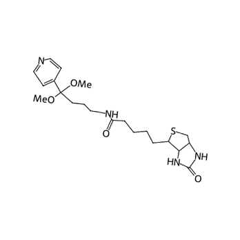 COC(CCCNC(=O)CCCCC1SCC2NC(=O)NC21)(OC)c1ccncc1